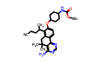 CC(CCC#N)c1c(OC2CCC(NC(=O)OC(C)(C)C)CC2)ccc2c1CC(C)(C)c1c(N)ncnc1-2